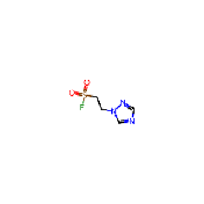 O=S(=O)(F)CCn1cncn1